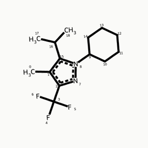 Cc1c(C(F)(F)F)nn(C2CCCCC2)c1C(C)C